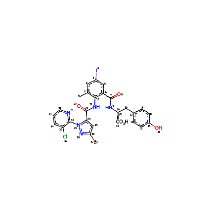 Cc1cc(I)cc(C(=O)N[C@@H](Cc2ccc(O)cc2)C(=O)O)c1NC(=O)c1cc(Br)nn1-c1ncccc1Cl